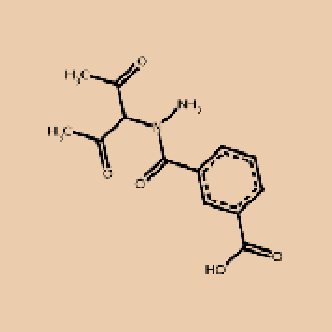 CC(=O)C(C(C)=O)N(N)C(=O)c1cccc(C(=O)O)c1